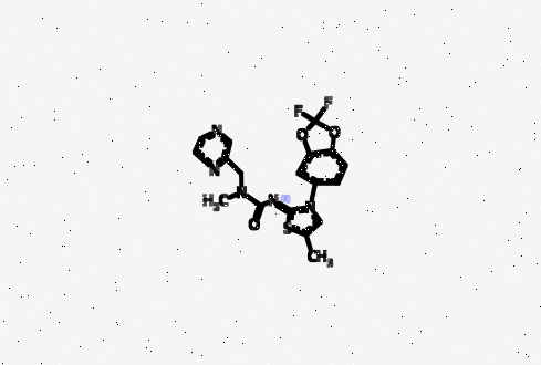 Cc1cn(-c2ccc3c(c2)OC(F)(F)O3)/c(=N/C(=O)N(C)Cc2cnccn2)s1